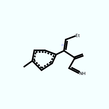 C=C(C=N)/C(=C\CC)c1ccc(C)cc1